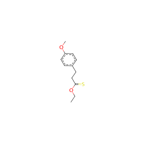 CCOC(=S)CCc1ccc(OC)cc1